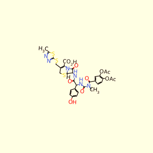 CC(=O)Oc1ccc(C(=O)N(C)C(=O)NC(C(=O)NC2C(=O)N3C(C(=O)O)=C(CSc4nnc(C)s4)CS[C@@H]23)c2ccc(O)cc2)cc1OC(C)=O